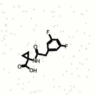 O=C(Cc1cc(F)cc(F)c1)NC1(C(=O)O)CC1